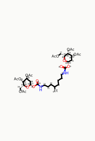 CCC(CCCCNC(=O)O[C@H]1C[C@@H](OC(C)=O)[C@@H](OC(C)=O)[C@@H](COC(C)=O)O1)CCCNC(=O)O[C@H]1C[C@@H](OC(C)=O)[C@@H](OC(C)=O)[C@@H](COC(C)=O)O1